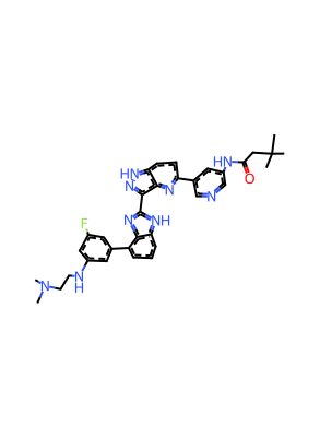 CN(C)CCNc1cc(F)cc(-c2cccc3[nH]c(-c4n[nH]c5ccc(-c6cncc(NC(=O)CC(C)(C)C)c6)nc45)nc23)c1